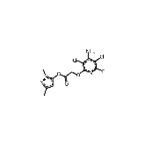 Cc1cc(OC(=O)COc2nc(F)c(Cl)c(N)c2Cl)n(C)n1